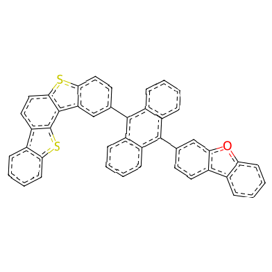 c1ccc2c(c1)oc1cc(-c3c4ccccc4c(-c4ccc5sc6ccc7c8ccccc8sc7c6c5c4)c4ccccc34)ccc12